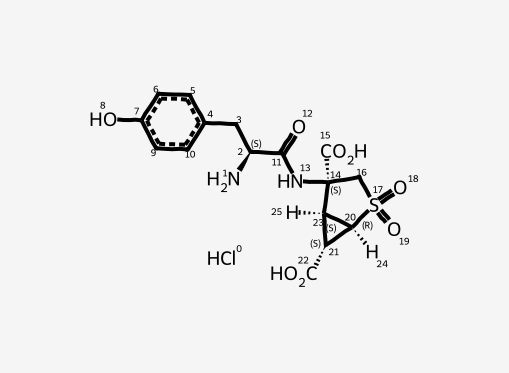 Cl.N[C@@H](Cc1ccc(O)cc1)C(=O)N[C@@]1(C(=O)O)CS(=O)(=O)[C@H]2[C@H](C(=O)O)[C@H]21